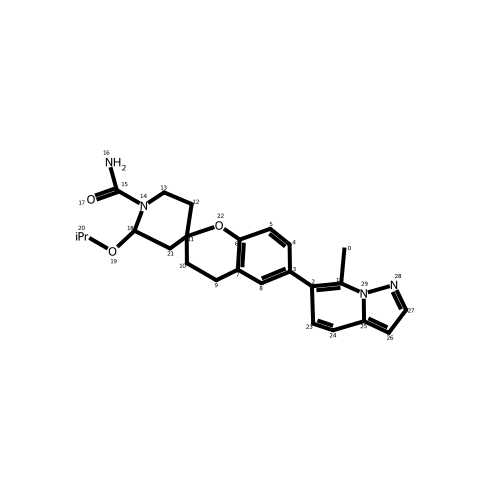 Cc1c(-c2ccc3c(c2)CCC2(CCN(C(N)=O)C(OC(C)C)C2)O3)ccc2ccnn12